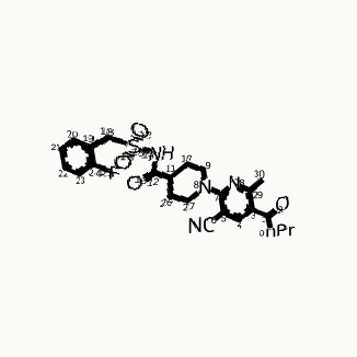 CCCC(=O)c1cc(C#N)c(N2CCC(C(=O)NS(=O)(=O)Cc3ccccc3F)CC2)nc1C